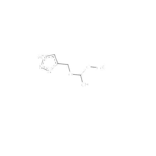 COC(C)OCc1c[nH]nn1